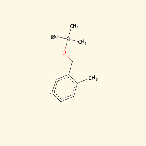 Cc1cc[c]cc1CO[Si](C)(C)C(C)(C)C